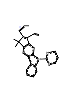 C=CC1=C(/C=C\C)C(C)(C)c2cc3c4ccccc4n(-c4ncccn4)c3cc21